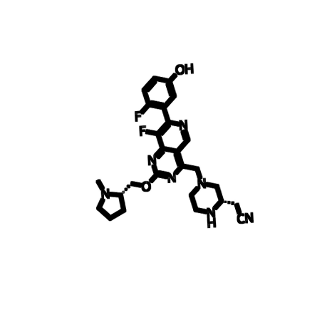 CN1CCC[C@H]1COc1nc(CN2CCN[C@@H](CC#N)C2)c2cnc(-c3cc(O)ccc3F)c(F)c2n1